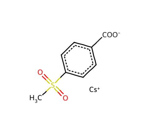 CS(=O)(=O)c1ccc(C(=O)[O-])cc1.[Cs+]